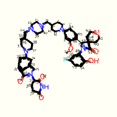 COc1cc(N2CCC(CN3CCN(CC4CCN(c5ccc6c(c5)CN(C5CCC(=O)NC5=O)C6=O)CC4)CC3)CC2)c(F)cc1[C@@H]1N(c2cc(F)ccc2O)C(=O)C12CCOCC2